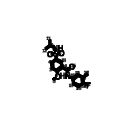 COc1ccc(S(=O)(=O)NC(C)C)cc1C(=O)Nc1ccc(F)c(C)c1